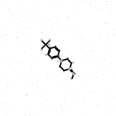 CN=S1CCN(c2ccc(C(C)(C)C)cc2)CC1